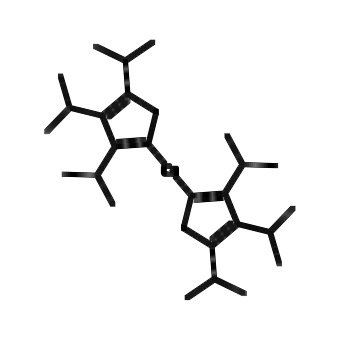 CC(C)C1=C(C(C)C)C(C(C)C)=[C]([Ca][C]2=C(C(C)C)C(C(C)C)=C(C(C)C)C2)C1